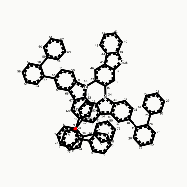 c1ccc(-c2ccccc2-c2ccc3c(c2)c2cc(-c4ccccc4-c4ccccc4)ccc2n3-c2cc3sc4ccccc4c3cc2-n2c3ccc(-c4ccccc4-c4ccccc4)cc3c3cc(-c4ccccc4-c4ccccc4)ccc32)cc1